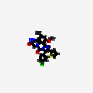 CC(C)Oc1cc(C#N)ccc1C1=N[C@@H](c2cccs2)[C@@H](c2ccc(Cl)cc2)N1C(=O)N1CCNC(=O)C1